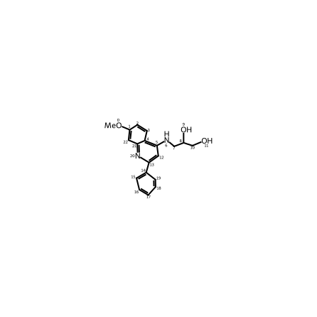 COc1ccc2c(NCC(O)CO)cc(-c3ccccc3)nc2c1